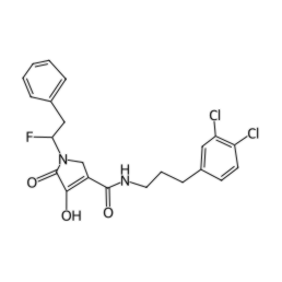 O=C(NCCCc1ccc(Cl)c(Cl)c1)C1=C(O)C(=O)N(C(F)Cc2ccccc2)C1